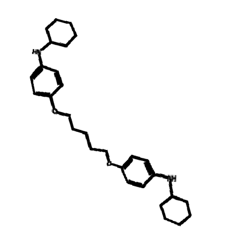 c1cc(OCCCCCOc2ccc(NC3CCCCC3)cc2)ccc1NC1CCCCC1